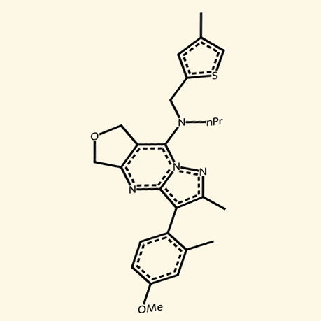 CCCN(Cc1cc(C)cs1)c1c2c(nc3c(-c4ccc(OC)cc4C)c(C)nn13)COC2